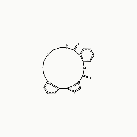 O=C1Nc2ccccc2C(=O)NCCOCCOc2cc(ccn2)-c2nc1cs2